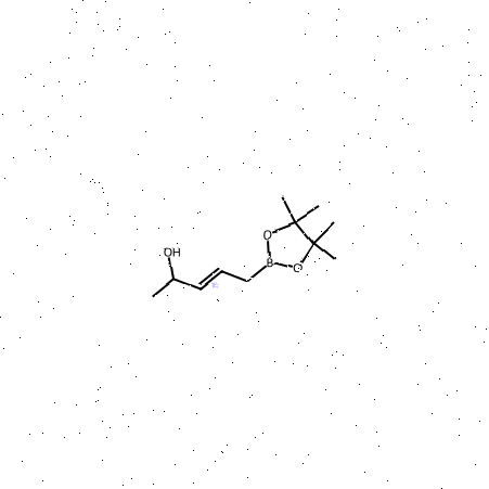 CC(O)/C=C/CB1OC(C)(C)C(C)(C)O1